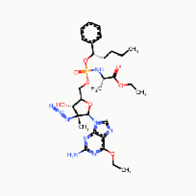 CCCC[C@H](OP(=O)(N[C@@H](C)C(=O)OCC)OC[C@H]1O[C@@H](n2cnc3c(OCC)nc(N)nc32)[C@](C)(N=[N+]=[N-])[C@@H]1O)c1ccccc1